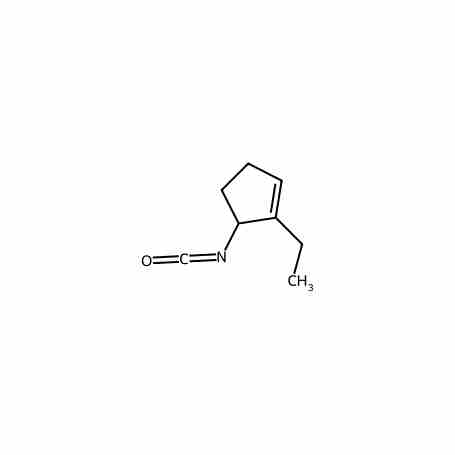 CCC1=CCCC1N=C=O